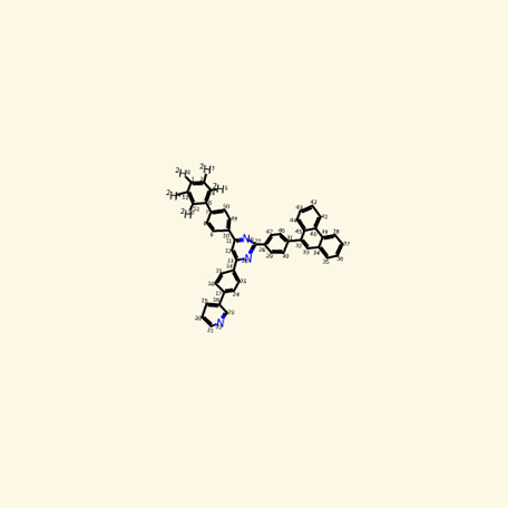 [2H]c1c([2H])c([2H])c(-c2ccc(-c3cc(-c4ccc(-c5cccnc5)cc4)nc(-c4ccc(-c5cc6ccccc6c6ccccc56)cc4)n3)cc2)c([2H])c1[2H]